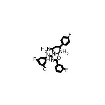 NC(CC(N)c1ccc(F)cc1)N/C(=N\C(=O)c1cccc(F)c1)Nc1cc(F)cc(Cl)c1